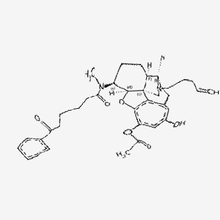 C=CCN1CC[C@]23c4c5c(O)cc(OC(C)=O)c4O[C@H]2[C@@H](N(C)C(=O)CCCCC(=O)c2ccccc2)CC[C@H]3[C@H]1C5